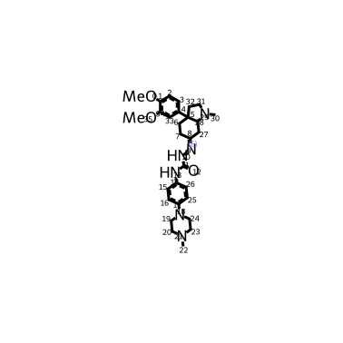 COc1ccc(C23CC/C(=N\NC(=O)Nc4ccc(N5CCN(C)CC5)cc4)CC2N(C)CC3)cc1OC